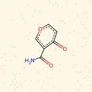 NC(=O)c1coccc1=O